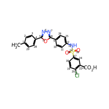 Cc1ccc(-c2nnc(-c3ccc(NS(=O)(=O)c4ccc(Cl)c(C(=O)O)c4)cc3)o2)cc1